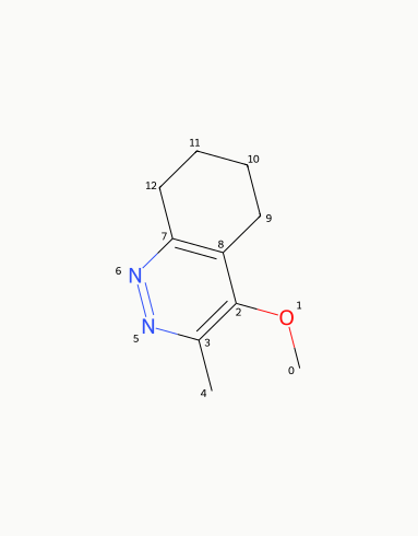 COc1c(C)nnc2c1CCCC2